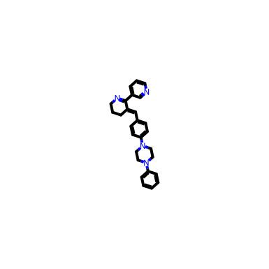 C(=C1CCCN=C1c1cccnc1)c1ccc(N2CCN(c3ccccc3)CC2)cc1